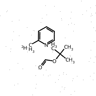 CC(C)(C)OC=O.Cc1ccccn1.[2H]